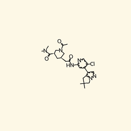 CC(=O)N1C[C@@H](CC(=O)Nc2cc(-c3cnn4c3CC(C)(C)C4)c(Cl)cn2)C[C@@H](C(=O)N(C)C)C1